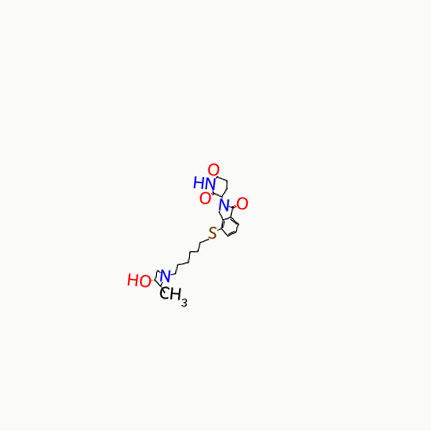 C[C@H]1[C@H](O)CN1CCCCCCCSc1cccc2c1CN(C1CCC(=O)NC1=O)C2=O